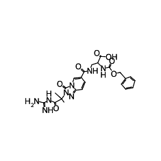 CC(C)(C(=O)NC(=N)N)n1nc2ccc(C(=O)NCC(NC(=O)OCc3ccccc3)C(=O)O)cn2c1=O